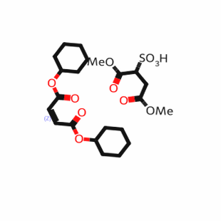 COC(=O)CC(C(=O)OC)S(=O)(=O)O.O=C(/C=C\C(=O)OC1CCCCC1)OC1CCCCC1